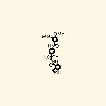 COc1ccc(C(=O)Nc2ccc(C(C)(C)CNC(=O)c3cccc4[nH]ccc34)cc2)cc1OC